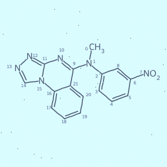 CN(c1cccc([N+](=O)[O-])c1)c1nc2nncn2c2ccccc12